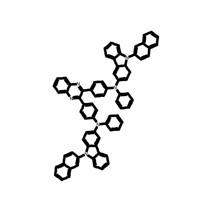 C1=C2c3ccccc3N(c3ccc4ccccc4c3)C2CC=C1N(c1ccccc1)c1ccc(-c2nc3ccccc3nc2-c2ccc(N(c3ccccc3)c3ccc4c(c3)c3ccccc3n4-c3ccc4ccccc4c3)cc2)cc1